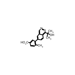 Cc1ccc(C(=O)O)cc1-c1ccc2c(C(C)(C)O)nncc2c1